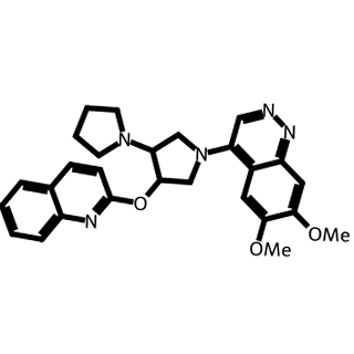 COc1cc2nncc(N3CC(Oc4ccc5ccccc5n4)C(N4CCCC4)C3)c2cc1OC